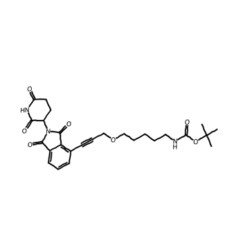 CC(C)(C)OC(=O)NCCCCCOCC#Cc1cccc2c1C(=O)N(C1CCC(=O)NC1=O)C2=O